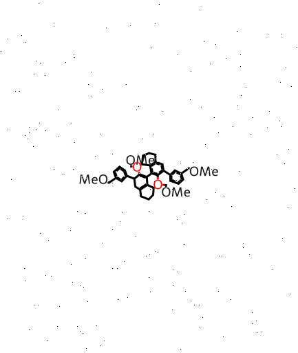 COCOC1=C(c2c3c(cc(-c4cccc(COC)c4)c2OCOC)CCCC3)C2=C(CCCC2)CC1c1cccc(COC)c1